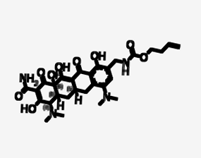 C=CCCOC(=O)NCc1cc(N(C)C)c2c(c1O)C(=O)C1=C(O)[C@@]3(O)C(=O)C(C(N)=O)=C(O)[C@H](N(C)C)[C@H]3C[C@H]1C2